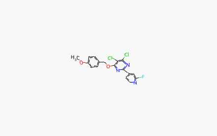 COc1ccc(COc2nc(-c3ccnc(F)c3)nc(Cl)c2Cl)cc1